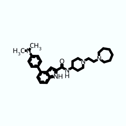 CN(C)c1ccc(-c2cccc3[nH]c(C(=O)NC4CCN(CCN5CCCCCC5)CC4)cc23)cc1